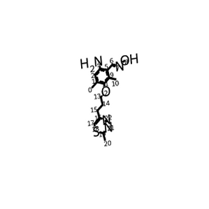 Cc1cc(N)c(C=NO)c(C)c1OCCCC1=CSC(C)N=N1